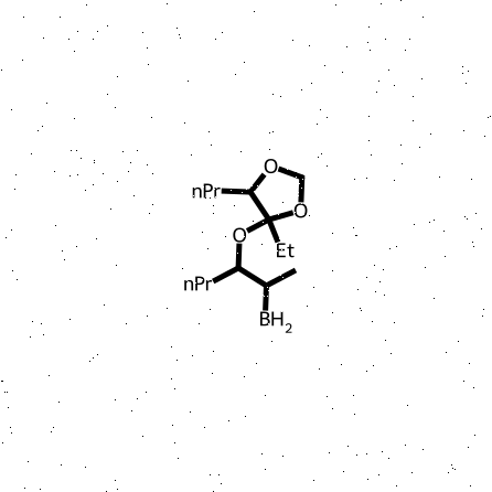 BC(C)C(CCC)OC1(CC)OCOC1CCC